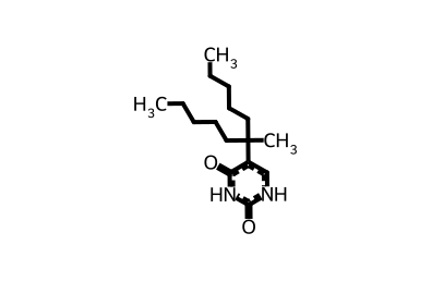 CCCCCC(C)(CCCCC)c1c[nH]c(=O)[nH]c1=O